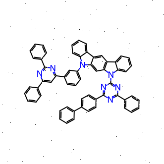 c1ccc(-c2ccc(-c3nc(-c4ccccc4)nc(-n4c5ccccc5c5cc6c7ccccc7n(-c7cccc(-c8cc(-c9ccccc9)nc(-c9ccccc9)n8)c7)c6cc54)n3)cc2)cc1